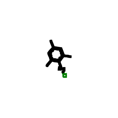 Cc1cc(C)[c]([Mg][Cl])c(C)c1